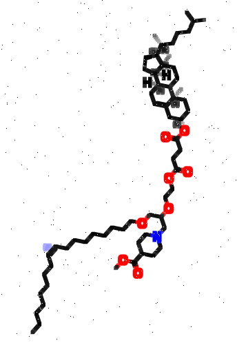 CCCCCCCC/C=C\CCCCCCCCOCC(CN1CCC(C(=O)OC)CC1)OCCOC(=O)CCC(=O)O[C@H]1CC[C@@]2(C)C(=CC[C@@H]3C2CC[C@@]2(C)[C@@H]3CC[C@H]2[C@H](C)CCCC(C)C)C1